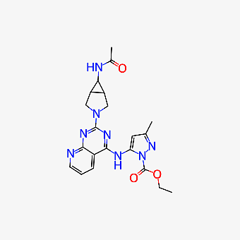 CCOC(=O)n1nc(C)cc1Nc1nc(N2CC3C(C2)C3NC(C)=O)nc2ncccc12